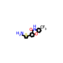 NCc1ccc(-c2ccc3c(c2)C(=O)Nc2cc(C(F)(F)F)ccc2O3)s1